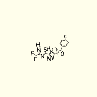 C[C@@H]1c2nnc(/C(S)=N/C(=N)C(F)F)n2CCN1C(=O)c1ccc(F)cc1